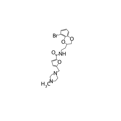 CN1CCN(Cc2ccc(C(=O)NCCC3COc4cccc(Br)c4O3)o2)CC1